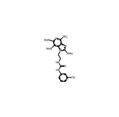 CNc1nc(N)c2nc(NC)n(CCNC(=O)Nc3cccc(C#N)c3)c2c1NC